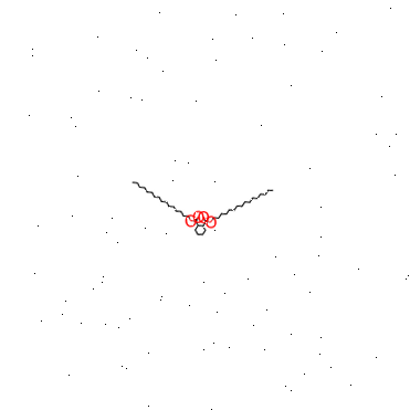 CCCCCCCCCCCCCCCCOC(=O)C1CCCCC1C(=O)OCCCCCCCCCCCCCCCC